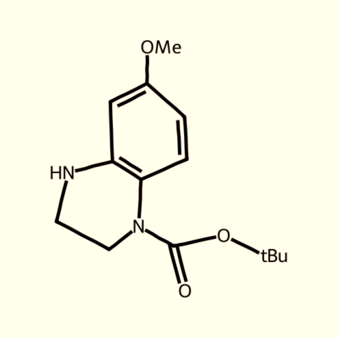 COc1ccc2c(c1)NCCN2C(=O)OC(C)(C)C